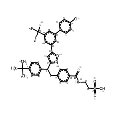 CC(C)(C)c1ccc(C(Cc2ccc(C(=O)NCCS(=O)(=O)O)cc2)c2cc(-c3cc(-c4ccc(Cl)cc4)cc(C(F)(F)F)c3)on2)cc1